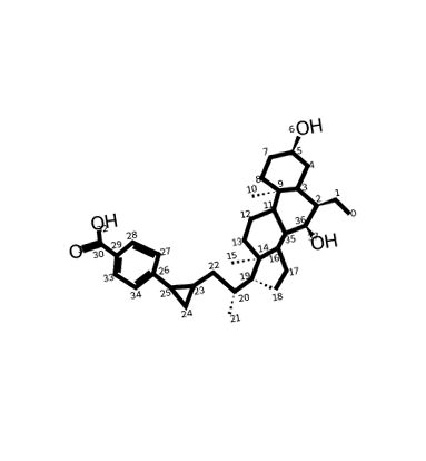 CC[C@@H]1C2C[C@H](O)CC[C@]2(C)C2CC[C@@]3(C)C(CC[C@@H]3[C@H](C)CC3CC3c3ccc(C(=O)O)cc3)C2[C@@H]1O